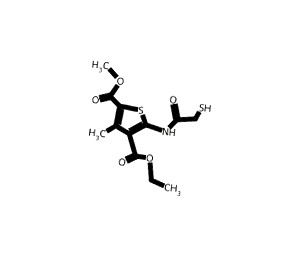 CCOC(=O)c1c(NC(=O)CS)sc(C(=O)OC)c1C